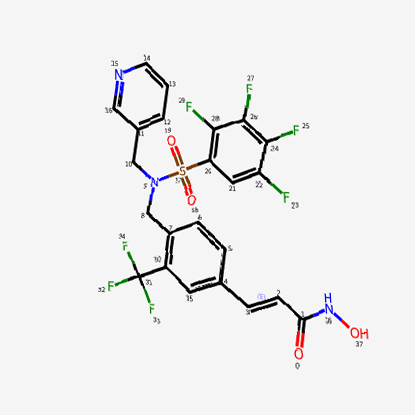 O=C(/C=C/c1ccc(CN(Cc2cccnc2)S(=O)(=O)c2cc(F)c(F)c(F)c2F)c(C(F)(F)F)c1)NO